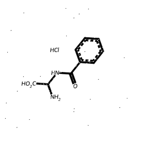 Cl.NC(NC(=O)c1ccccc1)C(=O)O